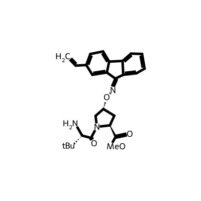 C=Cc1ccc2c(c1)C(=NO[C@@H]1C[C@@H](C(=O)OC)N(C(=O)[C@@H](N)C(C)(C)C)C1)c1ccccc1-2